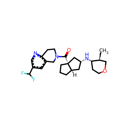 C[C@H]1COCC[C@@H]1N[C@@H]1C[C@H]2CCC[C@@]2(C(=O)N2CCc3ncc(C(F)F)cc3C2)C1